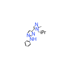 Cc1ncc(-c2ccnc(Nc3ccccc3)n2)n1CC(C)C